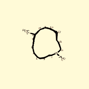 CC(=O)N1CCCCCCC(C)CCCCCC1